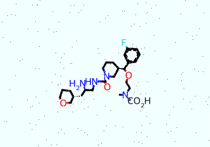 CN(CCOC(c1cccc(F)c1)[C@@H]1CCCN(C(=O)NC[C@H](N)C[C@H]2CCCOC2)C1)C(=O)O